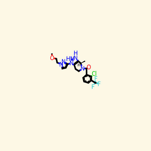 COCCn1ccc(N2NNC3=C2CCN(C(=O)c2cccc(C(F)(F)F)c2Cl)[C@@H]3C)n1